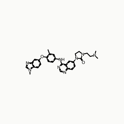 Cc1cc(Nc2ncnc3ccc(N4CCN(CCN(C)C)C4=O)cc23)ccc1Oc1ccc2c(c1)ncn2C